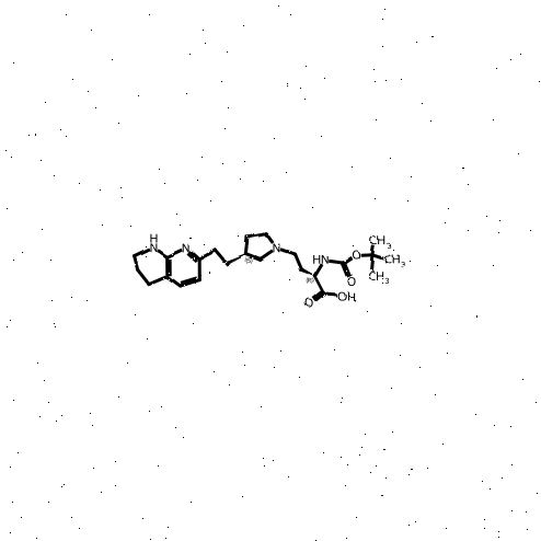 CC(C)(C)OC(=O)N[C@H](CCN1CC[C@H](CCc2ccc3c(n2)NCCC3)C1)C(=O)O